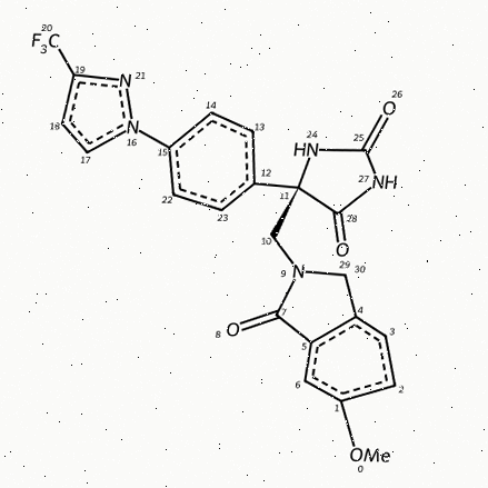 COc1ccc2c(c1)C(=O)N(C[C@@]1(c3ccc(-n4ccc(C(F)(F)F)n4)cc3)NC(=O)NC1=O)C2